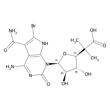 CC(C)(C(=O)O)[C@@H]1O[C@H](n2c(=O)nc(N)c3c(C(N)=O)c(Br)[nH]c32)[C@H](O)[C@H]1O